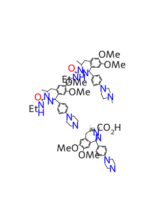 CCNC(=O)N1N=C(c2ccc(N3CCN(C)CC3)cc2)c2cc(OC)c(OC)cc2CC1C.CCNC(=O)N1N=C(c2ccc(N3CCN(C)CC3)cc2)c2cc(OC)c(OC)cc2CC1C.COc1cc2c(cc1OC)C(c1ccc(N3CCN(C)CC3)cc1)=NN(C(=O)O)[C@@H](C)C2